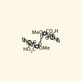 COc1cc(C(=O)O)c(NC(=O)c2ccc(-n3ccnc3)nn2)cc1OCCCCOc1cc(NC(=O)c2ccc(-n3ccnc3)nn2)c(C(=O)O)cc1OC